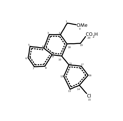 COCc1cc2ccccc2c(-c2ccc(Cl)cc2)c1CC(=O)O